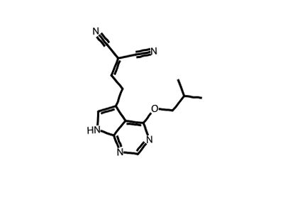 CC(C)COc1ncnc2[nH]cc(CC=C(C#N)C#N)c12